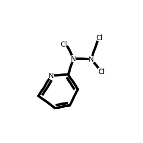 ClN(Cl)N(Cl)c1ccccn1